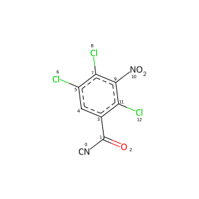 [C-]#[N+]C(=O)c1cc(Cl)c(Cl)c([N+](=O)[O-])c1Cl